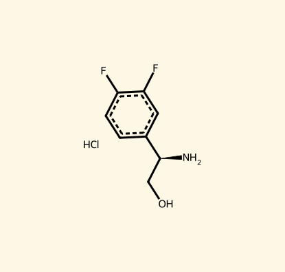 Cl.N[C@@H](CO)c1ccc(F)c(F)c1